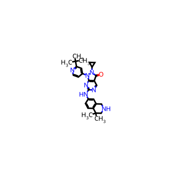 CC(C)(C)c1cc(-n2c3nc(Nc4ccc5c(c4)CNCC5(C)C)ncc3c(=O)n2C2CC2)ccn1